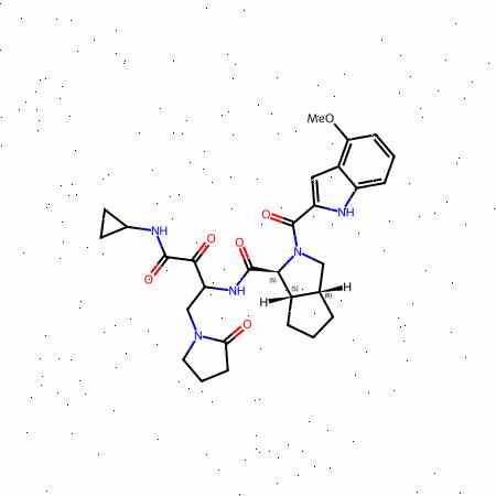 COc1cccc2[nH]c(C(=O)N3C[C@@H]4CCC[C@@H]4[C@H]3C(=O)NC(CN3CCCC3=O)C(=O)C(=O)NC3CC3)cc12